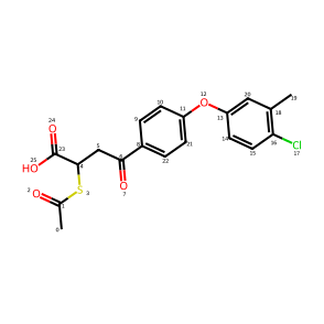 CC(=O)SC(CC(=O)c1ccc(Oc2ccc(Cl)c(C)c2)cc1)C(=O)O